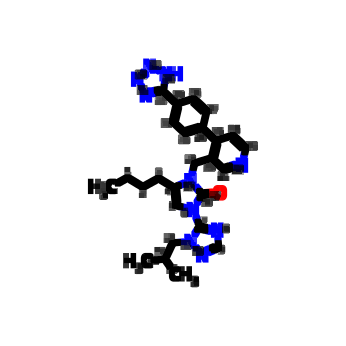 CCCCc1cn(-c2ncnn2CC(C)C)c(=O)n1Cc1cnccc1-c1ccc(-c2nnn[nH]2)cc1